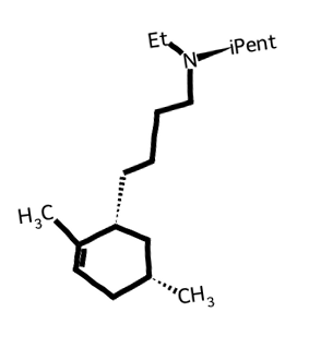 CCC[C@H](C)N(CC)CCCC[C@@H]1C[C@H](C)CC=C1C